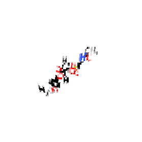 COc1ccc(COC(=O)C(C)(C)COS(=O)(=O)CCCNC(C)=O)cc1